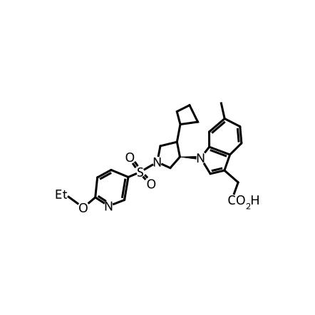 CCOc1ccc(S(=O)(=O)N2CC(C3CCC3)[C@@H](n3cc(CC(=O)O)c4ccc(C)cc43)C2)cn1